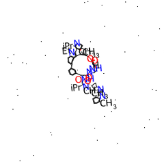 CCn1c(-c2cccnc2C(C)C)c2c3cc(ccc31)-c1cccc(c1)C[C@H](NC(=O)[C@H](C(C)C)N(C)C(=O)[C@H]1C[C@H](N=C=Nc3c(C)cccc3C)C1)C(=O)N1CCC[C@H](N1)C(=O)OCC(C)(C)C2